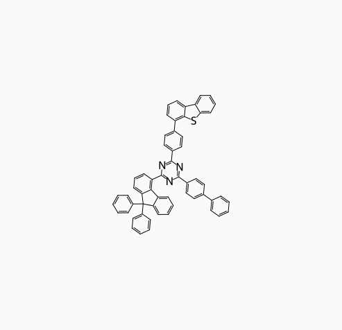 c1ccc(-c2ccc(-c3nc(-c4ccc(-c5cccc6c5sc5ccccc56)cc4)nc(-c4cccc5c4-c4ccccc4C5(c4ccccc4)c4ccccc4)n3)cc2)cc1